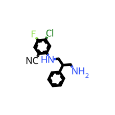 N#Cc1cc(F)c(Cl)cc1NCC(CN)c1ccccc1